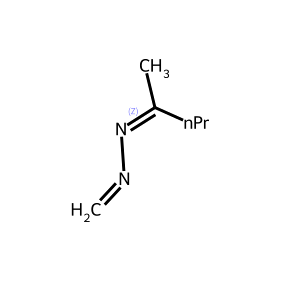 C=N/N=C(/C)CCC